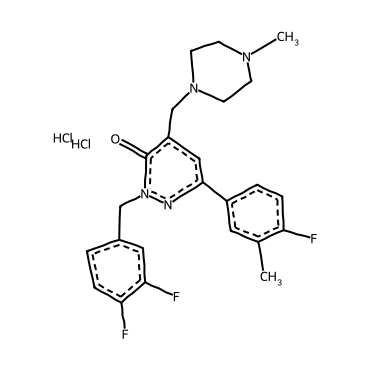 Cc1cc(-c2cc(CN3CCN(C)CC3)c(=O)n(Cc3ccc(F)c(F)c3)n2)ccc1F.Cl.Cl